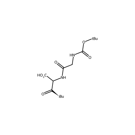 CC[C@H](C)C(=O)C(NC(=O)CNC(=O)OC(C)(C)C)C(=O)O